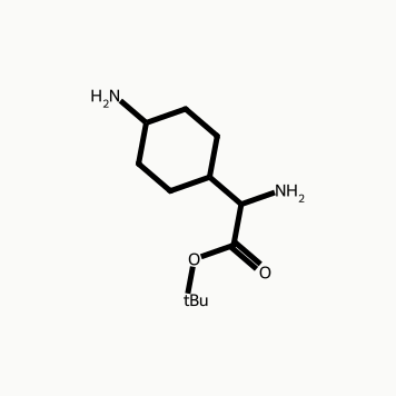 CC(C)(C)OC(=O)C(N)C1CCC(N)CC1